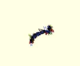 CCOc1cc(N2CCC(N3CCN(C4CCN(c5cc(F)c([C@H]6CCC(=O)NC6=O)c(F)c5)CC4)CC3)CC2)c(CC)cc1Nc1ncc(Cl)c(Nc2ccc3nc(C)c(F)cc3c2P(C)(C)=O)n1